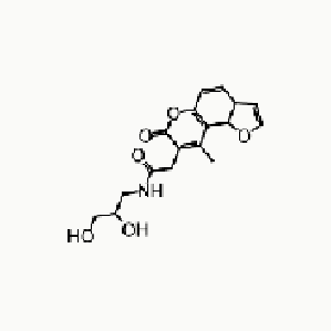 Cc1c2c(oc(=O)c1CC(=O)NCC(O)CO)C=CC1C=COC21